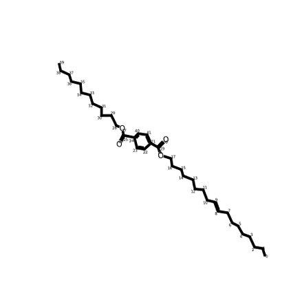 CCCCCCCCC=CCCCCCCCCOC(=O)c1ccc(C(=O)OCCCCCCCCCCCC)cc1